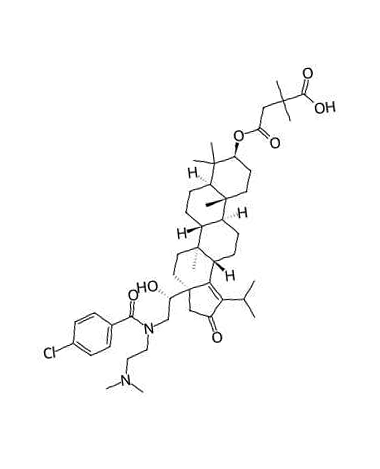 CC(C)C1=C2[C@H]3CC[C@H]4[C@@H](CC[C@H]5C(C)(C)[C@@H](OC(=O)CC(C)(C)C(=O)O)CC[C@]45C)[C@]3(C)CC[C@@]2([C@@H](O)CN(CCN(C)C)C(=O)c2ccc(Cl)cc2)CC1=O